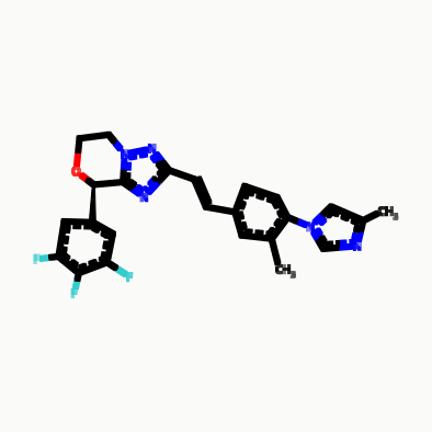 Cc1cn(-c2ccc(/C=C/c3nc4n(n3)CCO[C@@H]4c3cc(F)c(F)c(F)c3)cc2C)cn1